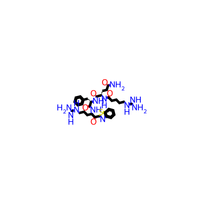 N=C(N)NCCCCC(=O)N[C@@H](CCC(N)=O)C(=O)N[C@@H](Cc1ccccc1)C(=O)NC(CCCNC(=N)N)C(=O)c1nc2ccccc2s1